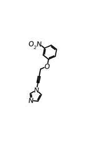 O=[N+]([O-])c1cccc(OCC#Cn2ccnc2)c1